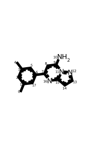 Cc1cc(C)cc(-c2cc(N)n3nccc3n2)c1